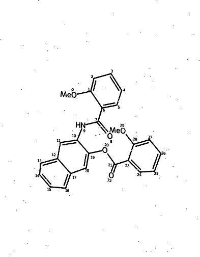 COc1ccccc1C(=O)Nc1cc2ccccc2cc1OC(=O)c1ccccc1OC